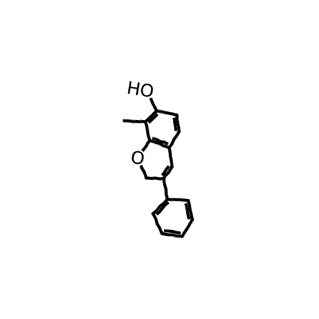 Cc1c(O)ccc2c1OCC(c1ccccc1)=C2